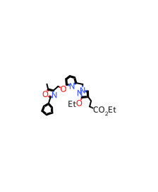 CCOC(=O)CCc1cn(Cc2cccc(OCc3nc(-c4ccccc4)oc3C)n2)nc1OCC